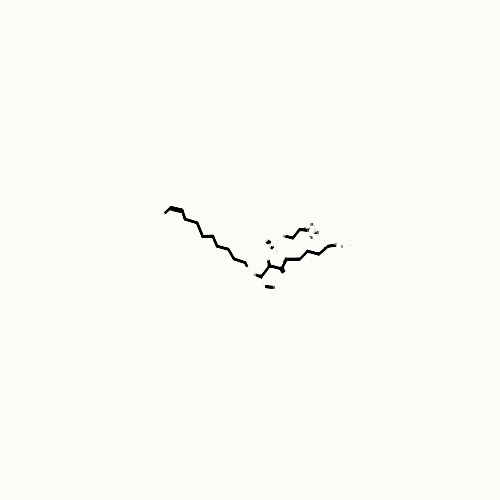 CCCCCCCC/C=C\CCCCCCCCO[C@@H](CO)C(OP(=O)([O-])OCC[N+](C)(C)C)C(=O)CCCCCCCCCCCCCCC